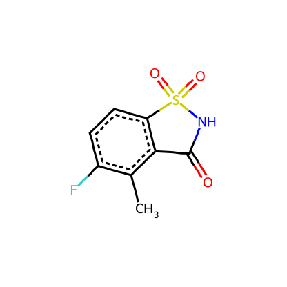 Cc1c(F)ccc2c1C(=O)NS2(=O)=O